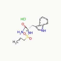 C=CCS(=O)(=O)N[C@@H](Cc1c[nH]c2ccccc12)C(N)=O.Cl